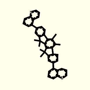 Cc1c(C)c2c(c3c1-c1ccc(-c4cccc5ncccc45)cc1C3(C)C)C(C)(C)c1cc(-c3cccc4ncccc34)ccc1-2